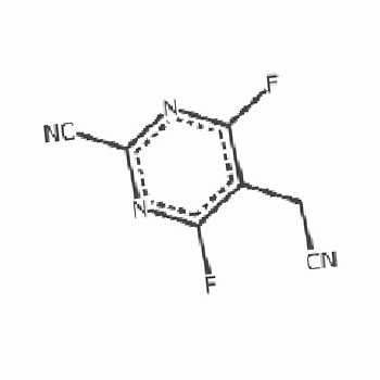 N#CCc1c(F)nc(C#N)nc1F